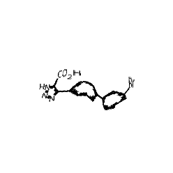 O=C(O)c1[nH]nnc1-c1ccc(-c2cccc(Br)c2)cc1